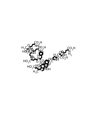 CC(C)CC(NC(=O)CCC(N)C(=O)O)C(=O)O.CC(NC(=O)CCC(N)C(=O)O)C(=O)O.CC(O)C(NC(=O)CCC(N)C(=O)O)C(=O)O.C[C@H](CCC(=O)O)[C@H]1CC[C@H]2[C@@H]3[C@H](O)C[C@@H]4C[C@H](O)CC[C@]4(C)[C@H]3C[C@H](O)[C@]12C.NC(CCC(=O)NC(Cc1ccccc1)C(=O)O)C(=O)O.O=C1CCC(C(=O)O)N1